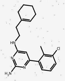 Cc1c(Cl)cccc1-c1cc(NCCC2=CCCCC2)nc(N)n1